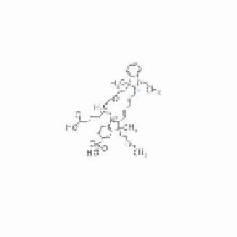 CCOCCC1(C)C(C=CC=C/C=C2/N(CC)c3ccccc3C2(C)CCOCC)=[N+](CCCCCC(=O)O)c2ccc(S(=O)(=O)O)cc21